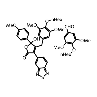 CCCCCCOc1c(OC)cc(C=O)cc1OC.CCCCCCOc1c(OC)cc(CC2=C(c3ccc4nsnc4c3)C(=O)OC2(O)c2ccc(OC)cc2)cc1OC